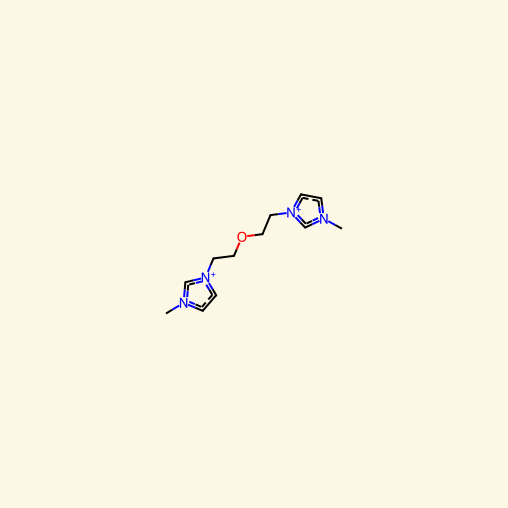 Cn1cc[n+](CCOCC[n+]2ccn(C)c2)c1